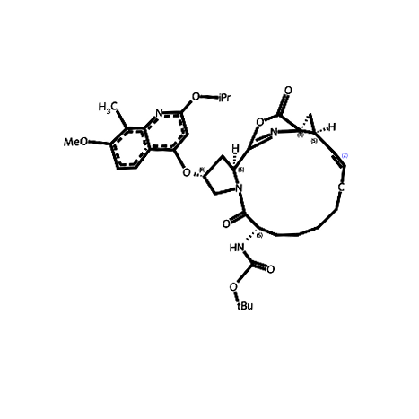 COc1ccc2c(O[C@@H]3C[C@H]4C5=N[C@@]6(C[C@H]6/C=C\CCCCC[C@H](NC(=O)OC(C)(C)C)C(=O)N4C3)C(=O)O5)cc(OC(C)C)nc2c1C